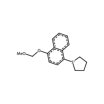 COCOc1ccc([S+]2CCCC2)c2ccccc12